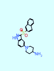 NC1CCN(c2ccc3[nH]nc(S(=O)(=O)c4ccc5ccccc5c4)c3c2)CC1